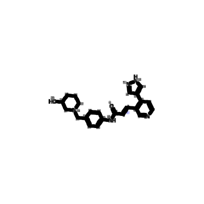 O=C(/C=C/c1cnccc1-c1cn[nH]c1)Nc1ccc(CN2CCCC(O)C2)cc1